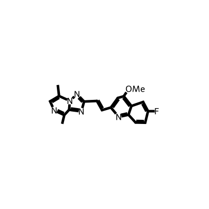 COc1cc(C=Cc2nc3c(C)ncc(C)n3n2)nc2ccc(F)cc12